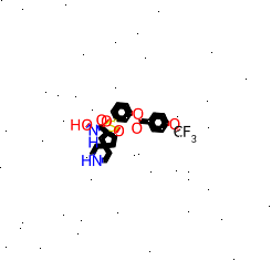 O=C(Oc1cccc(S(=O)(=O)C2(C(=O)NO)CCC3(CCNCC3)C2)c1)c1ccc(OC(F)(F)F)cc1